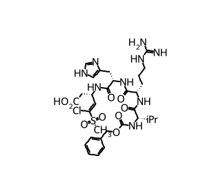 CC(C)[C@H](NC(=O)OCc1ccccc1)C(=O)N[C@@H](CCCNC(=N)N)C(=O)N[C@@H](Cc1c[nH]cn1)C(=O)N[C@H](/C=C(\Cl)S(C)(=O)=O)CC(=O)O